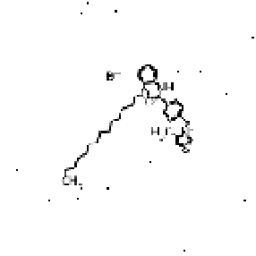 CCCCCCCCCCCCCCOc1ccccc1NC(=O)c1ccc(C[n+]2cscc2C)cc1.[Br-]